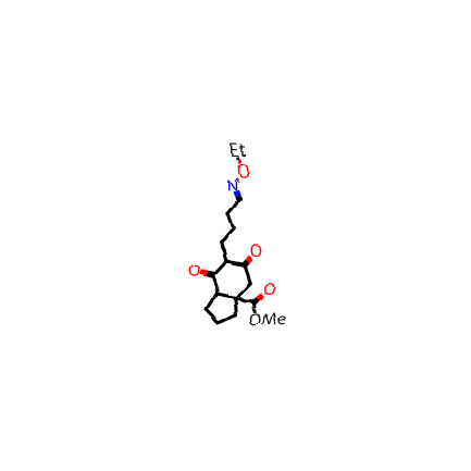 CCON=CCCCC1C(=O)CC2(C(=O)OC)CCCC2C1=O